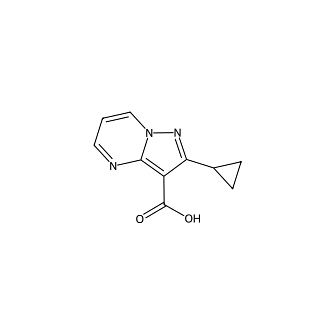 O=C(O)c1c(C2CC2)nn2cccnc12